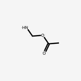 CC(=O)OC[NH]